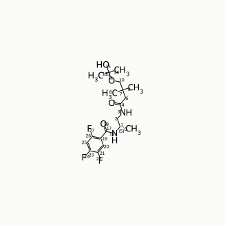 C[C@@H](CNC(=O)CC(C)(C)COC(C)(C)O)NC(=O)c1cc(F)c(F)cc1F